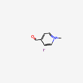 C[n+]1ccc(C=O)cc1.[I-]